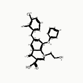 O=C(O)c1cn(CCO)c2c(Oc3ccccc3)cc(Cc3cccc(Cl)c3F)cc2c1=O